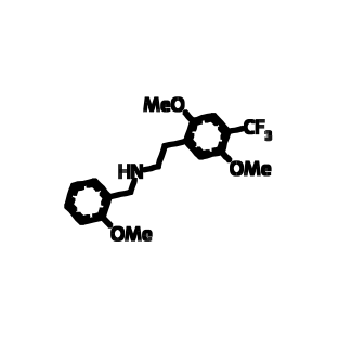 COc1cc(C(F)(F)F)c(OC)cc1CCNCc1ccccc1OC